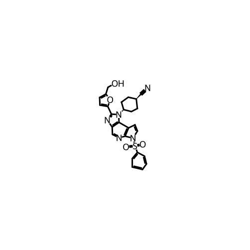 N#C[C@H]1CC[C@H](n2c(-c3ccc(CO)o3)nc3cnc4c(ccn4S(=O)(=O)c4ccccc4)c32)CC1